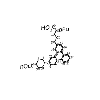 CCCCCCCC[C@H]1CC[C@H](c2ccc(-c3ccccc3-c3ccc(CCCC(CCCC)C(=O)O)cc3)cc2)CC1